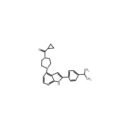 CC(C)c1ccc(-c2cc3c(N4CCN(C(=O)C5CC5)CC4)ccnc3[nH]2)cc1